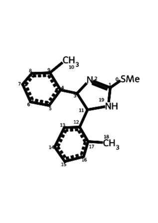 CSC1=NC(c2ccccc2C)C(c2ccccc2C)N1